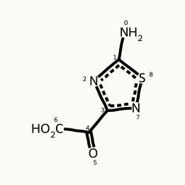 Nc1nc(C(=O)C(=O)O)ns1